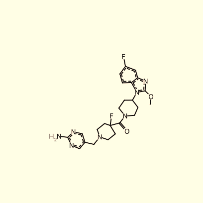 COc1nc2cc(F)ccc2n1C1CCN(C(=O)C2(F)CCN(Cc3cnc(N)nc3)CC2)CC1